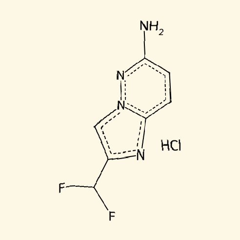 Cl.Nc1ccc2nc(C(F)F)cn2n1